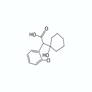 O=C(O)C(c1ccccc1Cl)C1(O)CCCCC1